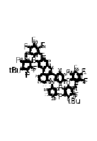 CC(C)(C)c1c(F)c(F)c(B(c2ccc3c(c2)N(c2ccccc2)c2cccc4c2c-3cc2ccc(B(c3c(F)c(F)c(F)c(F)c3F)c3c(F)c(F)c(C(C)(C)C)c(F)c3F)cc24)c2c(F)c(F)c(F)c(F)c2F)c(F)c1F